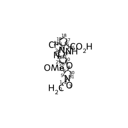 C=CC(=O)N1CCC(Oc2cc3c(NC(C(=O)O)c4cccc(Cl)c4)ncnc3cc2OC)CC1